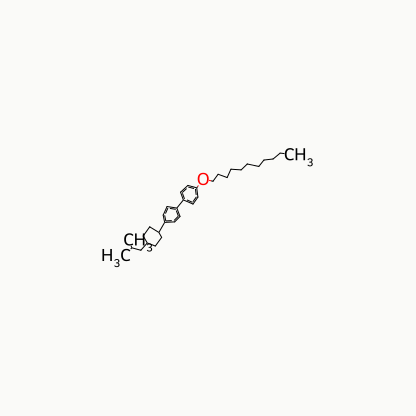 CCCCCCCCCCCOc1ccc(-c2ccc(C3CCC(CC(C)C)CC3)cc2)cc1